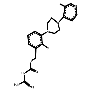 Cc1cnccc1N1CCN(c2cccc(COC(=O)NC(=N)N)c2F)CC1